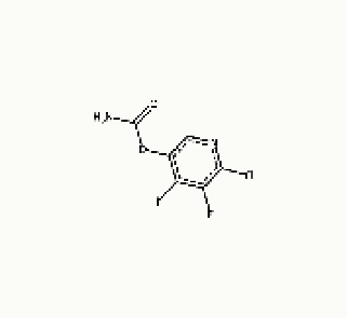 NC(=O)Oc1cnc(Cl)c(F)c1I